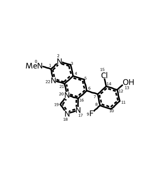 CNc1ncc2cc(-c3c(F)ccc(O)c3Cl)c3nncn3c2n1